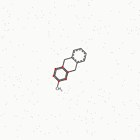 Cc1ccc2c(c1)C1c3ccccc3C2c2ccccc21